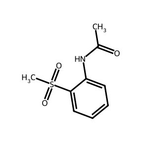 CC(=O)Nc1ccccc1S(C)(=O)=O